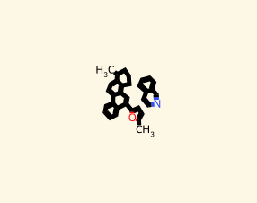 Cc1ccc(-c2cc3c4c(ccc3c3ccccc23)C(C)CCC4)o1.c1ccc2cnccc2c1